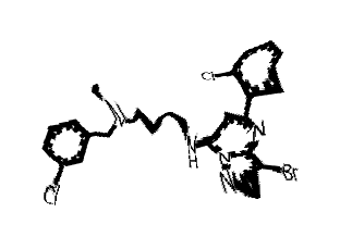 CN(CCCNc1cc(-c2ccccc2Cl)nc2c(Br)cnn12)Cc1cccc(Cl)c1